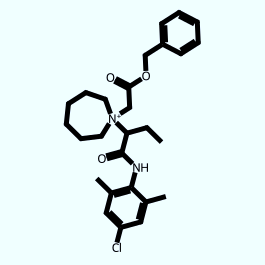 CCC(C(=O)Nc1c(C)cc(Cl)cc1C)[N+]1(CC(=O)OCc2ccccc2)CCCCCC1